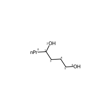 CCCC(O)CCCO